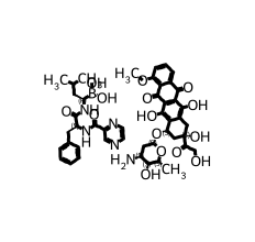 CC(C)C[C@H](NC(=O)[C@H](Cc1ccccc1)NC(=O)c1cnccn1)B(O)O.COc1cccc2c1C(=O)c1c(O)c3c(c(O)c1C2=O)C[C@@](O)(C(=O)CO)C[C@@H]3O[C@H]1C[C@H](N)[C@H](O)[C@H](C)O1